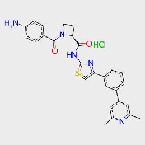 Cc1cc(-c2cccc(-c3csc(NC(=O)[C@@H]4CCN4C(=O)c4ccc(N)cc4)n3)c2)cc(C)n1.Cl